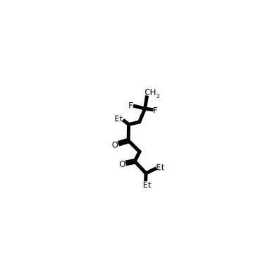 CCC(CC)C(=O)CC(=O)C(CC)CC(C)(F)F